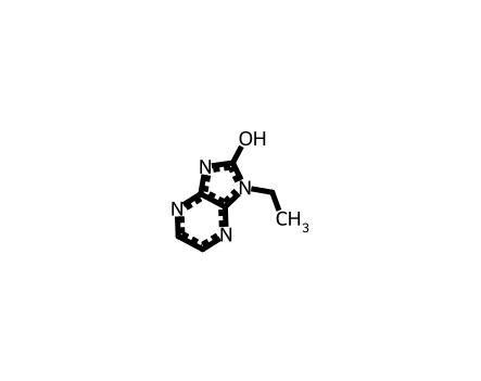 CCn1c(O)nc2nccnc21